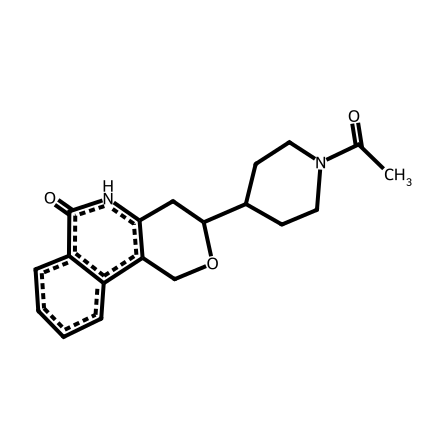 CC(=O)N1CCC(C2Cc3[nH]c(=O)c4ccccc4c3CO2)CC1